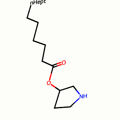 CCCCCCCCCCCCC(=O)OC1C[CH]NC1